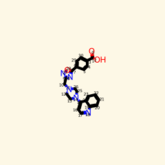 O=C(O)c1ccc(-c2nc(CN3CCN(c4ccnc5ccccc45)CC3)no2)cc1